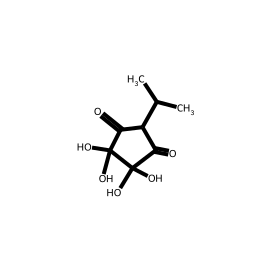 CC(C)C1C(=O)C(O)(O)C(O)(O)C1=O